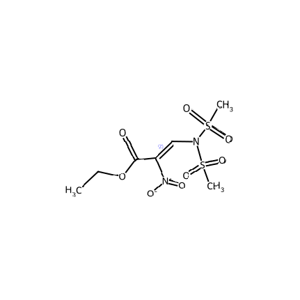 CCOC(=O)/C(=C/N(S(C)(=O)=O)S(C)(=O)=O)[N+](=O)[O-]